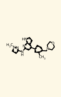 Cc1cc(-c2cc(Nc3ccn(C)n3)nc3[nH]ccc23)ccc1CN1CCOCC1